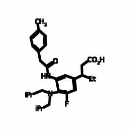 CCC(CC(=O)O)c1cc(F)c(N(CC(C)C)CC(C)C)c(NC(=O)Cc2ccc(C)cc2)c1